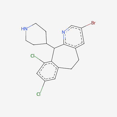 Clc1cc(Cl)c2c(c1)CCc1cc(Br)cnc1C2C1CCNCC1